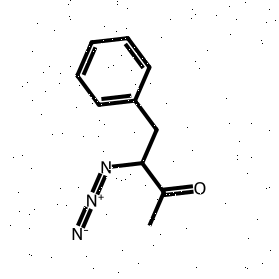 CC(=O)C(Cc1ccccc1)N=[N+]=[N-]